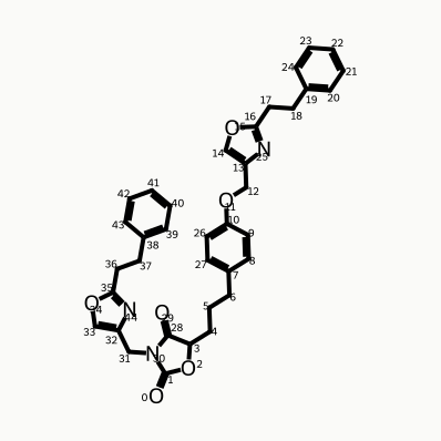 O=C1OC(CCCc2ccc(OCc3coc(CCc4ccccc4)n3)cc2)C(=O)N1Cc1coc(CCc2ccccc2)n1